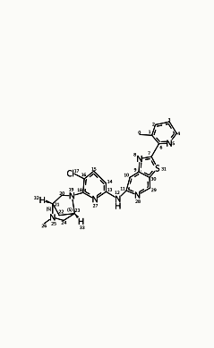 Cc1cccnc1-c1nc2cc(Nc3ccc(Cl)c(N4C[C@@H]5C[C@H]4CN5C)n3)ncc2s1